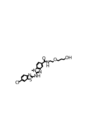 Cn1c(Nc2nc3ccc(Cl)cc3s2)nc2cc(C(=O)NCCOCCCO)ccc21